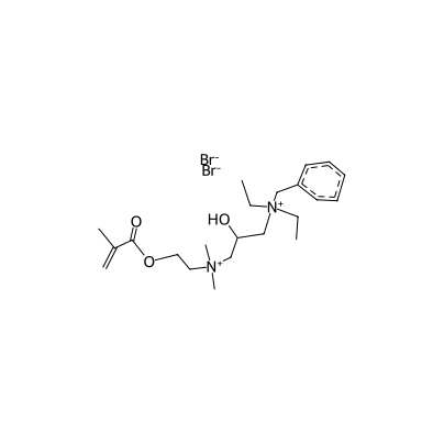 C=C(C)C(=O)OCC[N+](C)(C)CC(O)C[N+](CC)(CC)Cc1ccccc1.[Br-].[Br-]